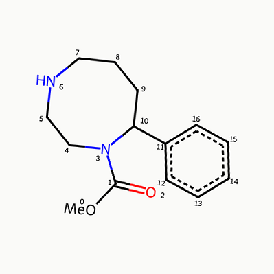 COC(=O)N1CCNCCCC1c1ccccc1